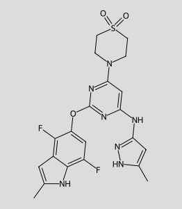 Cc1cc(Nc2cc(N3CCS(=O)(=O)CC3)nc(Oc3cc(F)c4[nH]c(C)cc4c3F)n2)n[nH]1